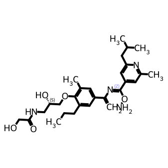 C=C(/N=C(\ON)c1cc(C)nc(CC(C)C)c1)c1cc(C)c(OC[C@@H](O)CNC(=O)CO)c(CCC)c1